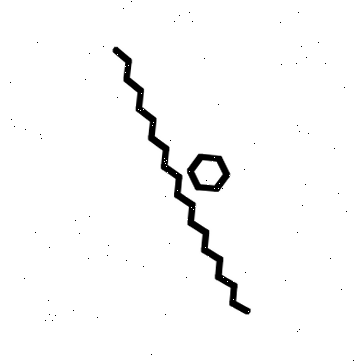 C1CCCCC1.CCCCCCCCCCCCCCCCCCCC